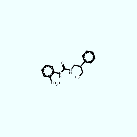 O=C(NCC(CS)c1ccccc1)Nc1ccccc1C(=O)O